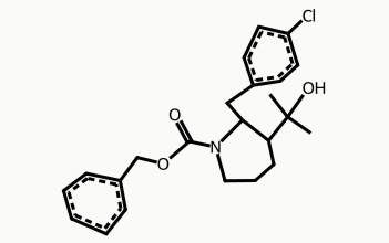 CC(C)(O)C1CCCN(C(=O)OCc2ccccc2)C1Cc1ccc(Cl)cc1